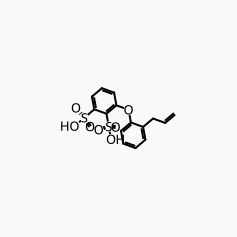 C=CCc1ccccc1Oc1cccc(S(=O)(=O)O)c1S(=O)(=O)O